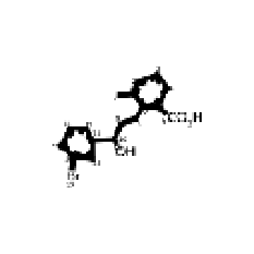 Cc1cccc(C(=O)O)c1CCC(O)c1cccc(Br)c1